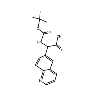 CC(C)(C)OC(=O)NC(C(=O)O)c1ccc2ncccc2c1